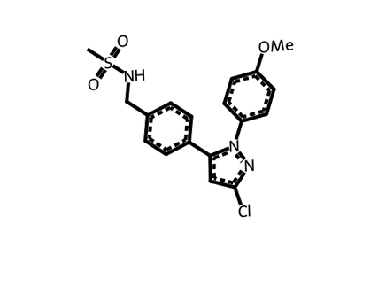 COc1ccc(-n2nc(Cl)cc2-c2ccc(CNS(C)(=O)=O)cc2)cc1